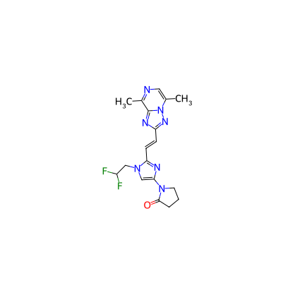 Cc1ncc(C)n2nc(C=Cc3nc(N4CCCC4=O)cn3CC(F)F)nc12